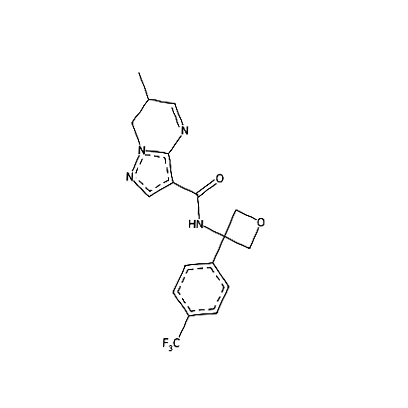 CC1C=Nc2c(C(=O)NC3(c4ccc(C(F)(F)F)cc4)COC3)cnn2C1